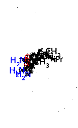 CC(C)CCC[C@@H](C)[C@H]1CCC2C3CC=C4CC(CCCN)(OC(N)=O)C(CCCN)C[C@]4(C)C3CC[C@@]21C